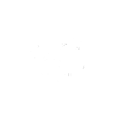 Oc1ccc2c(c1)C(c1ccc(O[C@H]3CCN(CCCF)C3)cc1)=C(C1=CCOCC1)CC2